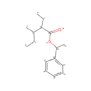 CCC(C)C(CC)C(=O)OC(C)c1ccccc1